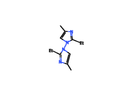 CCc1nc(C)cn1-n1cc(C)nc1CC